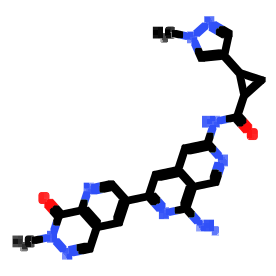 Cn1cc(C2CC2C(=O)Nc2cc3cc(-c4cnc5c(=O)n(C)ncc5c4)nc(N)c3cn2)cn1